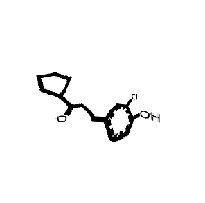 O=C(CCc1ccc(O)c(Cl)c1)C1CCCC1